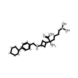 N[C@](CCCCB(O)O)(C(=O)O)C1CC(NCc2ccc(C3CCCCC3)cc2)C1